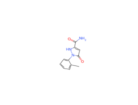 Cc1ccccc1-n1[nH]c(C(N)=O)cc1=O